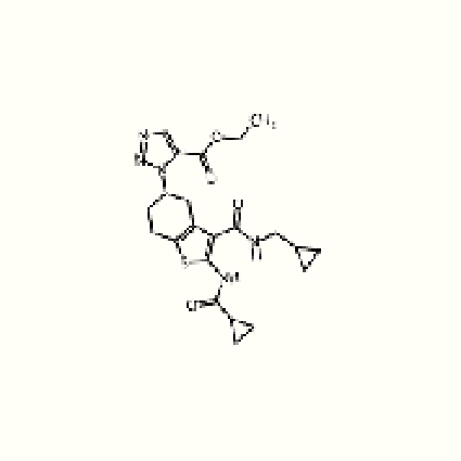 CCOC(=O)c1cnnn1C1CCc2sc(NC(=O)C3CC3)c(C(=O)NCC3CC3)c2C1